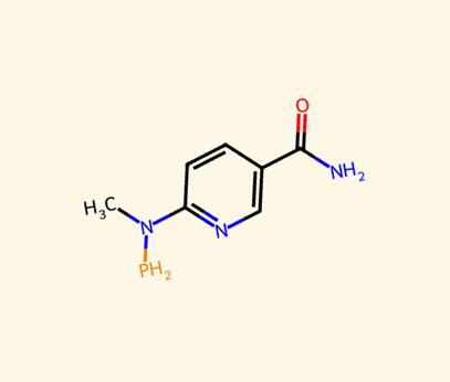 CN(P)c1ccc(C(N)=O)cn1